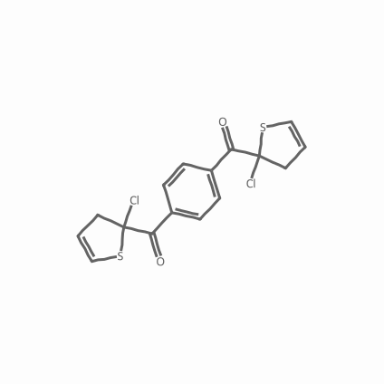 O=C(c1ccc(C(=O)C2(Cl)CC=CS2)cc1)C1(Cl)CC=CS1